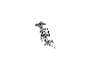 C[C@]12C[C@@H]3C[C@](C)(C1)C[C@@](NC(=O)Nc1nc(Cl)nc4c1ncn4[C@@H]1O[C@H](COP(=O)(O)CP(=O)(O)O)[C@H](O)[C@@H]1O)(C3)C2